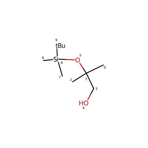 CC(C)(CO)O[Si](C)(C)C(C)(C)C